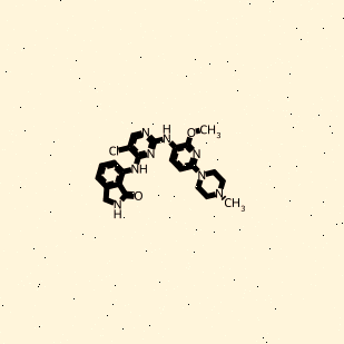 COc1nc(N2CCN(C)CC2)ccc1Nc1ncc(Cl)c(Nc2cccc3c2C(=O)NC3)n1